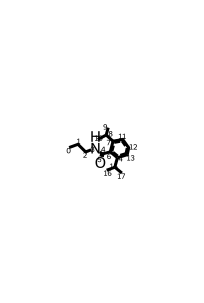 CCCNC(=O)c1c(C(C)C)cccc1C(C)C